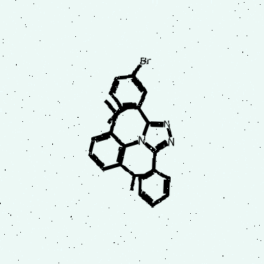 Cc1ccc(Br)cc1-c1nnc(-c2ccccc2)n1-c1c(C(C)C)cccc1C(C)C